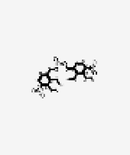 CCc1c(CO[PH](=O)OCc2ccc([N+](=O)[O-])c(CC)c2CC)ccc([N+](=O)[O-])c1CC